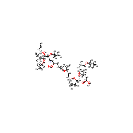 C=CC[C@@H]1O[C@@H]([C@H](/C=C/C(O)CC[C@H]2CC(=C)C(CC[C@H]3C[C@@H](C)C(=C)C(C[C@@H]4O[C@H](CC(C)CO[Si](C)(C)C(C)(C)C)[C@H](C)[C@H]4CC(=O)OC)O3)O2)O[Si](C)(C)C(C)(C)C)[C@@H](O[Si](C)(C)C(C)(C)C)[C@@H](C)[C@H]1C